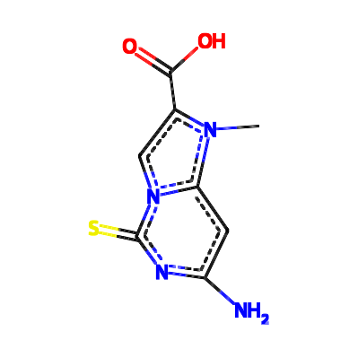 Cn1c(C(=O)O)cn2c(=S)nc(N)cc12